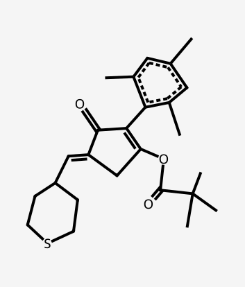 Cc1cc(C)c(C2=C(OC(=O)C(C)(C)C)C/C(=C\C3CCSCC3)C2=O)c(C)c1